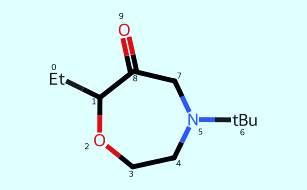 CCC1OCCN(C(C)(C)C)CC1=O